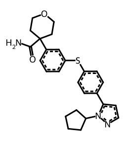 NC(=O)C1(c2cccc(Sc3ccc(-c4ccnn4C4CCCC4)cc3)c2)CCOCC1